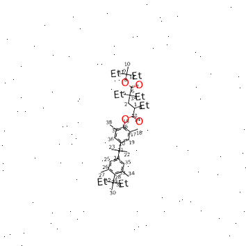 CCC(CC(CC)(CC)C(=O)OC(C)(CC)CC)C(=O)Oc1c(C)cc(C(C)(C)c2cc(C)c(C(C)(CC)CC)c(C)c2)cc1C